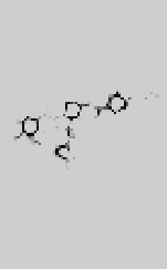 COc1ccc(C(=O)Nc2ccc3c(c2)C(=Cc2[nH]c(C)cc2C)CN3Cc2ccc(Cl)c(Cl)c2)cc1